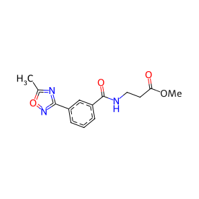 COC(=O)CCNC(=O)c1cccc(-c2noc(C)n2)c1